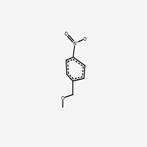 CO[CH]c1ccc([N+](=O)[O-])cc1